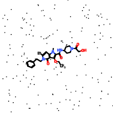 CCc1cc2c(c(OCC(F)(F)F)c(C(=O)NC3CCN(C(=O)CO)CC3)n2C)c(=O)n1CCc1ccccc1